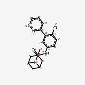 CC1CC2CC(C1)N2C(=O)Nc1ccc(Cl)c(-c2cccnn2)c1